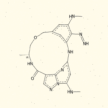 CNc1cc2cc(c1N=N)Nc1cc(NC)n3ncc(c3n1)C(=O)N[C@H](C)COC2